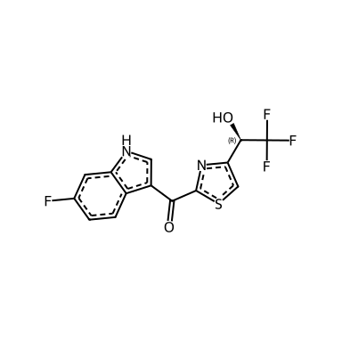 O=C(c1nc([C@@H](O)C(F)(F)F)cs1)c1c[nH]c2cc(F)ccc12